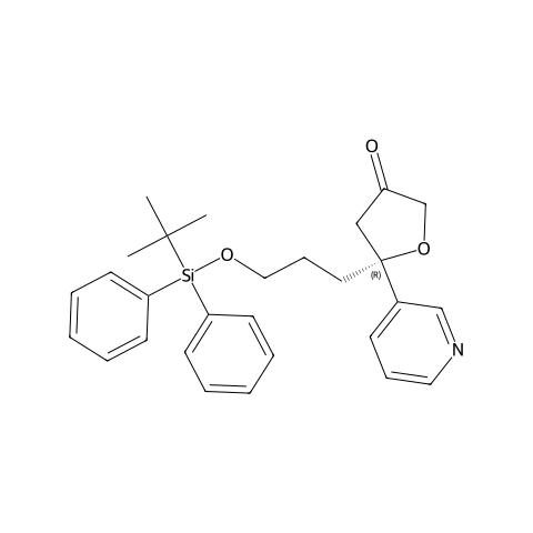 CC(C)(C)[Si](OCCC[C@]1(c2cccnc2)CC(=O)CO1)(c1ccccc1)c1ccccc1